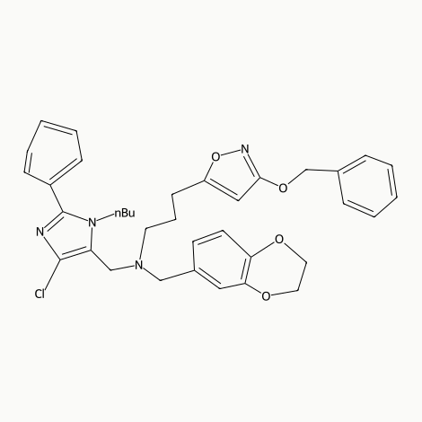 CCCCn1c(-c2ccccc2)nc(Cl)c1CN(CCCc1cc(OCc2ccccc2)no1)Cc1ccc2c(c1)OCCO2